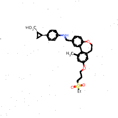 CCS(=O)(=O)CCCOc1cc(C)c2c(c1)CCOc1ccc(CNc3ccc([C@H]4C[C@@H]4C(=O)O)cc3)cc1-2